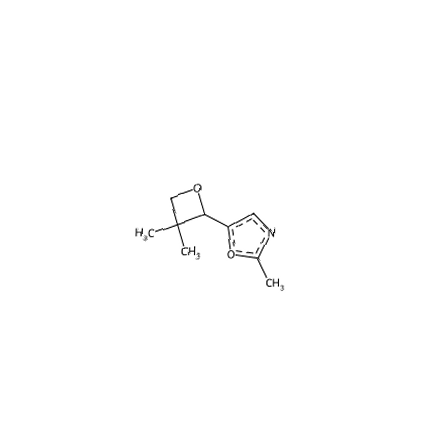 Cc1ncc(C2OCC2(C)C)o1